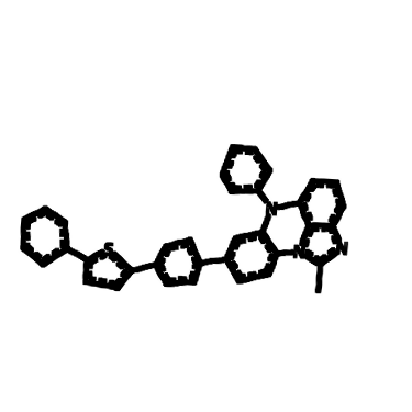 Cc1nc2cccc3c2n1-c1ccc(-c2ccc(-c4ccc(-c5ccccc5)s4)cc2)cc1N3c1ccccc1